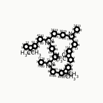 CC1(C)c2ccccc2-c2cc(-c3cccc(-c4cc(-c5ccccc5)nc(-c5ccc(-c6cccc(-c7cc(-c8cccc(-c9ccc%10c(c9)-c9ccccc9C%10(C)C)c8)nc(-c8ccc(-c9cccc(-c%10cc(-c%11ccccc%11)nc(-c%11cccc(-c%12ccc%13c(c%12)-c%12ccccc%12C%13(C)C)c%11)n%10)c9)cc8)n7)c6)cc5)c4)c3)ccc21